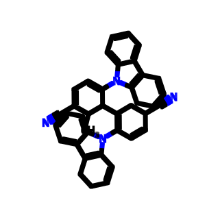 CC1C(C#N)=CC=C(n2c3c(c4ccccc42)C=CCC3)C1C1=C(n2c3c(c4ccccc42)CCC=C3)C=CC(C#N)C1